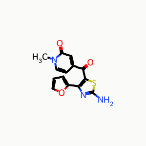 Cn1ccc(C(=O)c2sc(N)nc2-c2ccco2)cc1=O